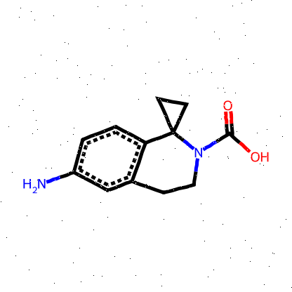 Nc1ccc2c(c1)CCN(C(=O)O)C21CC1